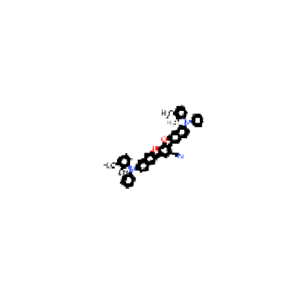 Cc1cccc(N(c2ccccc2)c2ccc3cc4c(cc3c2)oc2c4cc(C#N)c3c4cc5ccc(N(c6ccccc6)c6cccc(C)c6C)cc5cc4oc23)c1C